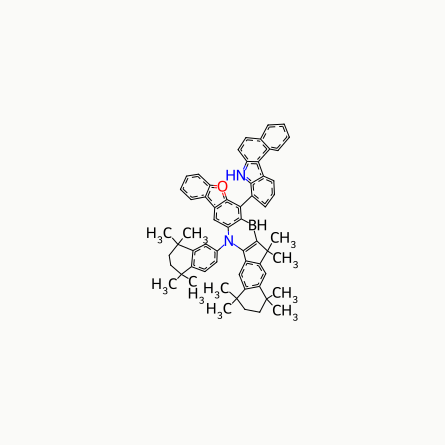 CC1(C)CCC(C)(C)c2cc(N3C4=C(Bc5c3cc3c(oc6ccccc63)c5-c3cccc5c3[nH]c3ccc6ccccc6c35)C(C)(C)c3cc5c(cc34)C(C)(C)CCC5(C)C)ccc21